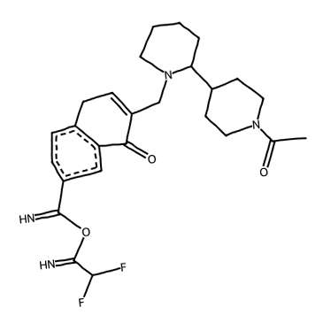 CC(=O)N1CCC(C2CCCCN2CC2=CCc3ccc(C(=N)OC(=N)C(F)F)cc3C2=O)CC1